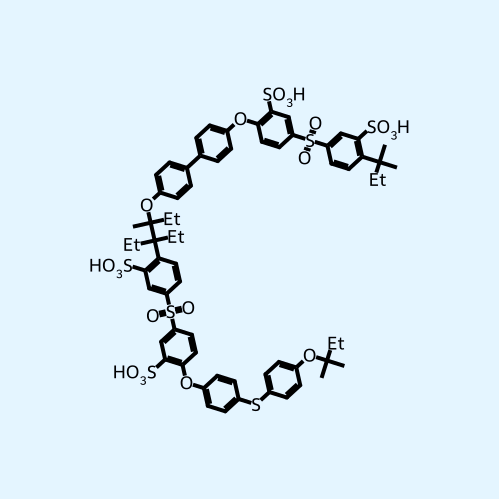 CCC(C)(C)Oc1ccc(Sc2ccc(Oc3ccc(S(=O)(=O)c4ccc(C(CC)(CC)C(C)(CC)Oc5ccc(-c6ccc(Oc7ccc(S(=O)(=O)c8ccc(C(C)(C)CC)c(S(=O)(=O)O)c8)cc7S(=O)(=O)O)cc6)cc5)c(S(=O)(=O)O)c4)cc3S(=O)(=O)O)cc2)cc1